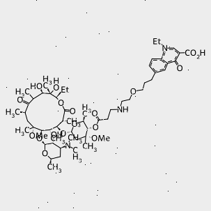 CC[C@H]1OC(=O)[C@H](C)[C@@H](O[C@H]2C[C@@](C)(OC)[C@@H](OC(=O)CCNCCOCCCc3ccc4c(c3)c(=O)c(C(=O)O)cn4CC)[C@H](C)O2)[C@H](C)[C@@H](O[C@@H]2O[C@H](C)C[C@H](N(C)C)[C@H]2O)[C@](C)(OC)C[C@@H](C)C(=O)C(C)[C@@H](O)[C@]1(C)O